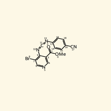 COC(=O)c1cncc(Br)c1N=C=Nc1ccc(C#N)cc1